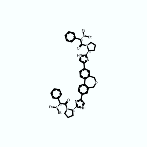 CCN(CC)[C@H](C(=O)N1CCC[C@H]1c1nc(-c2ccc3c(c2)COCc2cc(-c4c[nH]c([C@@H]5CCCN5C(=O)[C@H](c5ccccc5)N(CC)CC)n4)ccc2-3)c[nH]1)c1ccccc1